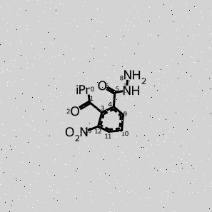 CC(C)C(=O)c1c(C(=O)NN)cccc1[N+](=O)[O-]